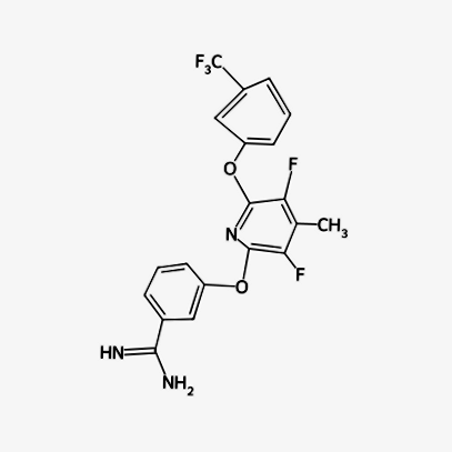 Cc1c(F)c(Oc2cccc(C(=N)N)c2)nc(Oc2cccc(C(F)(F)F)c2)c1F